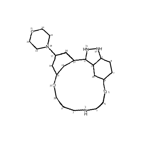 C1CNCCOC2CCC3NNC(C4CC(CC(N5CCOCC5)C4)OC1)C3C2